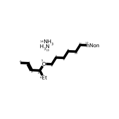 C/C=C/C(CC)OCCCCCCCCCCCCCCC.N.N